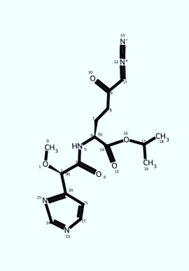 CO[C@@H](C(=O)N[C@@H](CCC(=O)C=[N+]=[N-])C(=O)OC(C)C)c1ccncn1